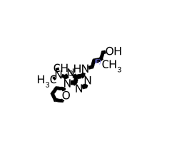 C/C(=C\CNc1ncnc2c1nc(N(C)C)n2C1CCCCO1)CO